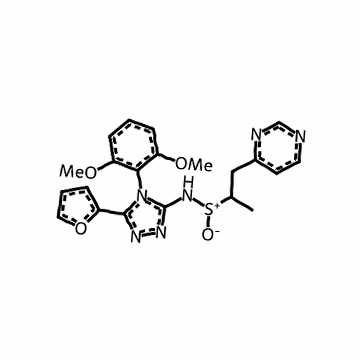 COc1cccc(OC)c1-n1c(N[S+]([O-])C(C)Cc2ccncn2)nnc1-c1ccco1